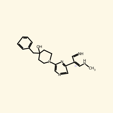 CN/C=C(\C=N)c1cncc(N2CCC(O)(Cc3ccccc3)CC2)n1